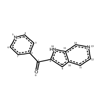 O=C(c1ccncc1)c1cc2ccncc2[nH]1